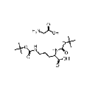 CC(C)(C)OC(=O)NCCCC(NC(=O)OC(C)(C)C)C(=O)O.NCC(=O)O